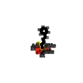 CCOP(=O)(OCC)C(C(CCCc1ccccc1)SC(C)=O)P(=O)(OC)OC